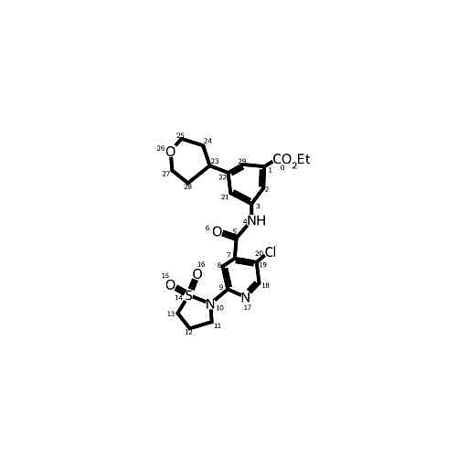 CCOC(=O)c1cc(NC(=O)c2cc(N3CCCS3(=O)=O)ncc2Cl)cc(C2CCOCC2)c1